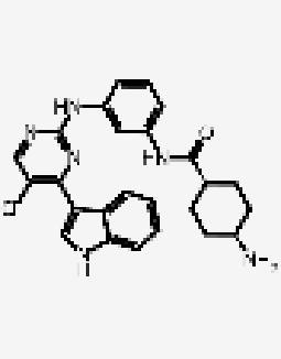 N[C@H]1CC[C@@H](C(=O)Nc2cccc(Nc3ncc(Cl)c(-c4c[nH]c5ccccc45)n3)c2)CC1